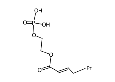 CC(C)CC=CC(=O)OCCOP(=O)(O)O